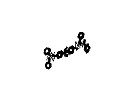 CCC(CC)(c1ccc(-c2nc(C3=CC=CCC=C3)nc(C3=CCCCC=C3)n2)cc1)c1ccc(C(C)/N=C(\N=C(/C)c2ccccc2)c2ccccc2)cc1